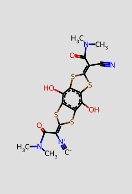 [C-]#[N+]C(C(=O)N(C)C)=C1Sc2c(O)c3c(c(O)c2S1)SC(=C(C#N)C(=O)N(C)C)S3